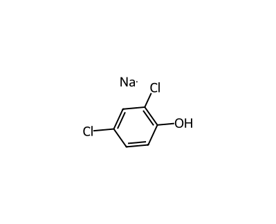 Oc1ccc(Cl)cc1Cl.[Na]